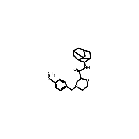 CSc1ccc(CN2CCOC(C(=O)NC3C4CC5CC(C4)CC3C5)C2)cc1